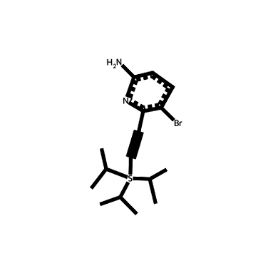 CC(C)S(C#Cc1nc(N)ccc1Br)(C(C)C)C(C)C